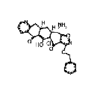 C[C@@]12C(=O)c3c(OCc4ccccc4)noc3[C@@H](N)[C@@H]1C[C@@H]1Cc3ncccc3C(=O)C1=C2O